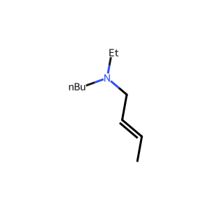 CC=CCN(CC)CCCC